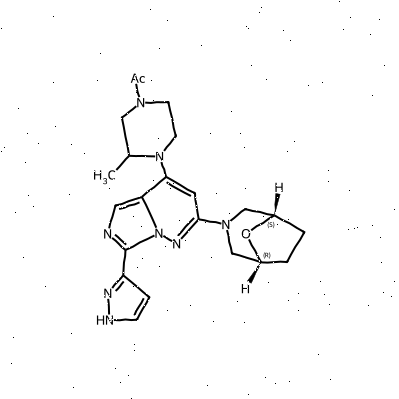 CC(=O)N1CCN(c2cc(N3C[C@H]4CC[C@@H](C3)O4)nn3c(-c4cc[nH]n4)ncc23)C(C)C1